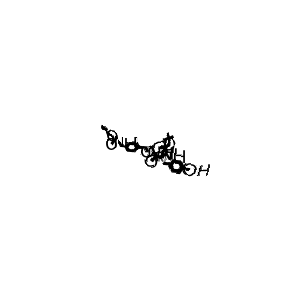 C=CCOC(=O)NCc1ccc(CONC(=O)[C@@H](Cc2ccc(O)cc2)NC(=O)OC(C)(C)C)cc1